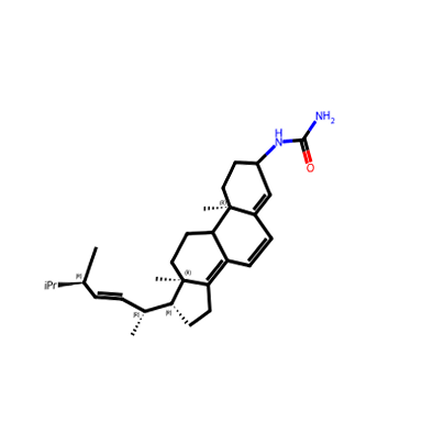 CC(C)[C@@H](C)C=C[C@@H](C)[C@H]1CCC2=C3C=CC4=CC(NC(N)=O)CC[C@]4(C)C3CC[C@@]21C